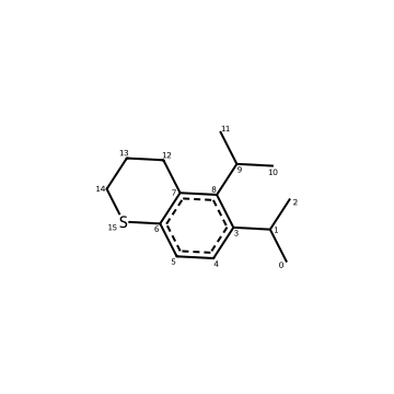 CC(C)c1ccc2c(c1C(C)C)CCCS2